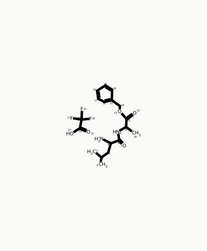 CC(C)CC(N)C(=O)NC(C)C(=O)OCc1ccccc1.O=C(O)C(F)(F)F